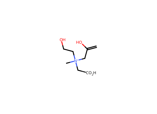 C=C(O)C[N+](C)(CCO)CC(=O)O